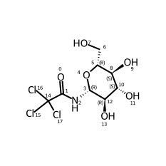 O=C(N[C@@H]1O[C@H](CO)[C@@H](O)[C@H](O)[C@H]1O)C(Cl)(Cl)Cl